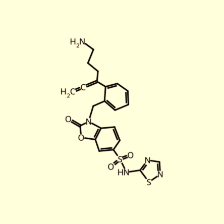 C=C=C(CCCN)c1ccccc1Cn1c(=O)oc2cc(S(=O)(=O)Nc3ncns3)ccc21